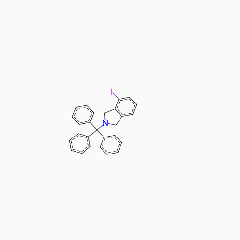 Ic1cccc2c1CN(C(c1ccccc1)(c1ccccc1)c1ccccc1)C2